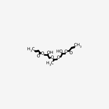 CC=CC(=O)OCC(O)COCC(C)OCC(O)COC(=O)C=CC